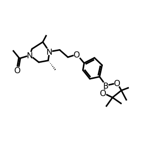 CC(=O)N1CC(C)N(CCOc2ccc(B3OC(C)(C)C(C)(C)O3)cc2)[C@H](C)C1